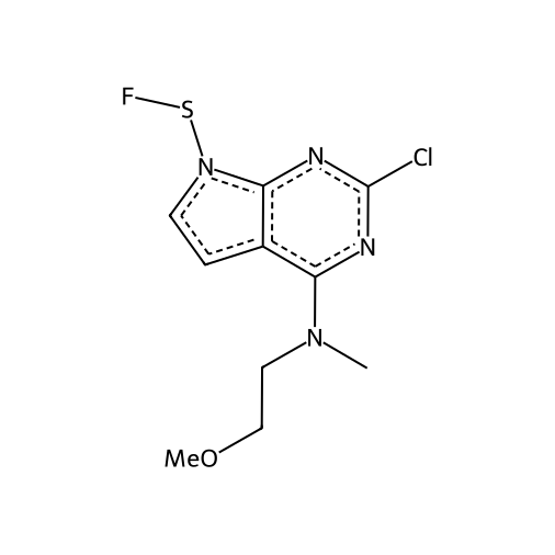 COCCN(C)c1nc(Cl)nc2c1ccn2SF